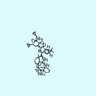 CN(C(C)(C)C)S(=O)(=O)CC1(NC(=O)N[C@H](C(=O)N2C[C@H]3[C@@H]([C@H]2C(=O)N[C@@H](CCC2CC2)C(=O)C(=O)NC2CC2)C3(C)C)C2(C)CCCCC2)CCCCC1